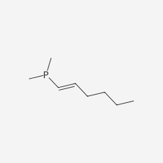 CCCCC=CP(C)C